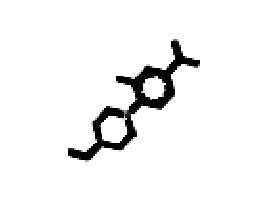 CCC1CCN(c2ccc(C(C)C)cc2C)CC1